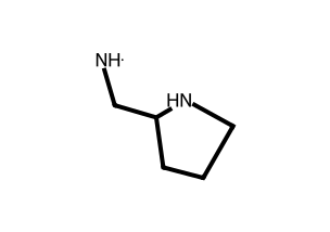 [NH]CC1CCCN1